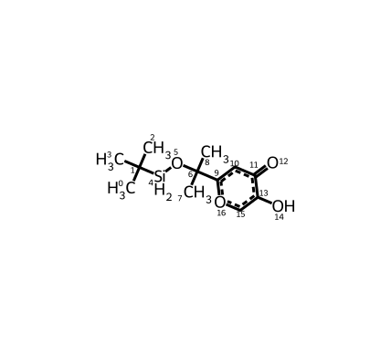 CC(C)(C)[SiH2]OC(C)(C)c1cc(=O)c(O)co1